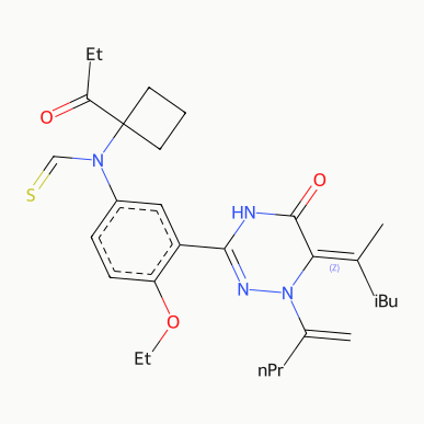 C=C(CCC)N1N=C(c2cc(N(C=S)C3(C(=O)CC)CCC3)ccc2OCC)NC(=O)/C1=C(\C)C(C)CC